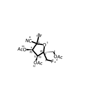 CC(=O)OC[C@@]1(CF)OC(Br)(C#N)[C@H](OC(C)=O)[C@@H]1OC(C)=O